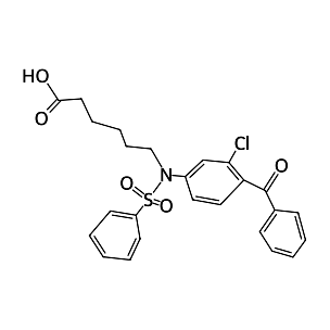 O=C(O)CCCCCN(c1ccc(C(=O)c2ccccc2)c(Cl)c1)S(=O)(=O)c1ccccc1